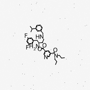 CCCN(CCC)C(=O)c1cncc(C(=O)OC(CNCc2cccc(C(C)C)c2)C(N)Cc2cc(F)cc(F)c2)c1